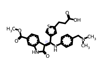 COC(=O)c1ccc2c(c1)NC(=O)/C2=C(\Nc1ccc(CN(C)C)cc1)c1csc(CCC(=O)O)c1